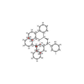 c1ccc(P(C[C@@H]2c3ccccc3-c3ccccc3[C@H]2CP(c2ccccc2)c2ccccc2)c2ccccc2)cc1